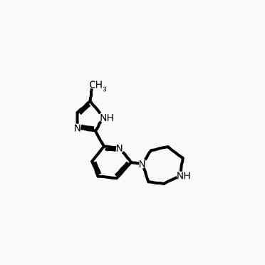 Cc1cnc(-c2cccc(N3CCCNCC3)n2)[nH]1